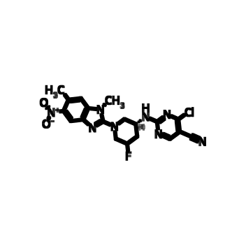 Cc1cc2c(cc1[N+](=O)[O-])nc(N1CC(F)C[C@@H](Nc3ncc(C#N)c(Cl)n3)C1)n2C